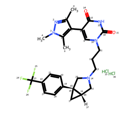 Cc1nn(C)c(C)c1-c1cn(CCCN2C[C@@H]3C[C@]3(c3ccc(C(F)(F)F)cc3)C2)c(=O)[nH]c1=O.Cl.Cl